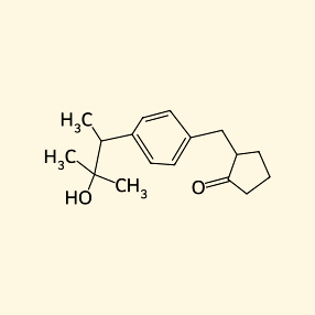 CC(c1ccc(CC2CCCC2=O)cc1)C(C)(C)O